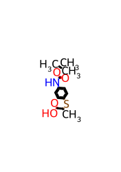 CC(Sc1ccc(NC(=O)OC(C)(C)C)cc1)C(=O)O